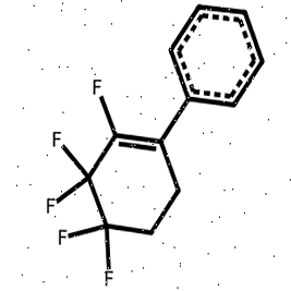 FC1=C(c2ccccc2)CCC(F)(F)C1(F)F